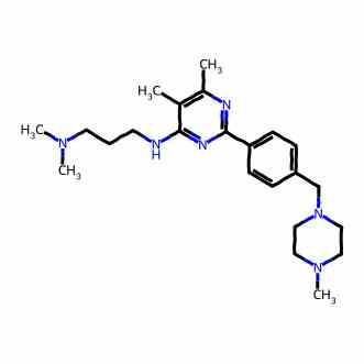 Cc1nc(-c2ccc(CN3CCN(C)CC3)cc2)nc(NCCCN(C)C)c1C